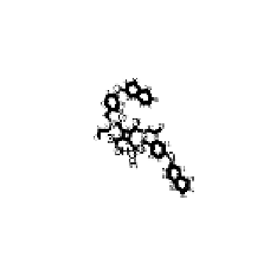 CCCN(Cc1ccc(Oc2ccc3ccccc3c2)cc1)C(=O)C1C(C(=O)O)C(C(=O)O)C1C(=O)N(CCC)Cc1ccc(Oc2ccc3ccccc3c2)cc1